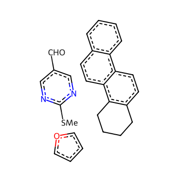 CSc1ncc(C=O)cn1.c1ccc2c(c1)ccc1c3c(ccc12)CCCC3.c1ccoc1